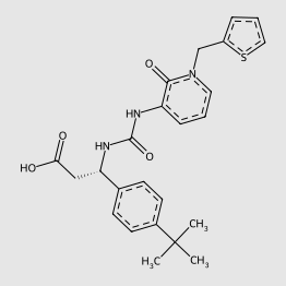 CC(C)(C)c1ccc([C@H](CC(=O)O)NC(=O)Nc2cccn(Cc3cccs3)c2=O)cc1